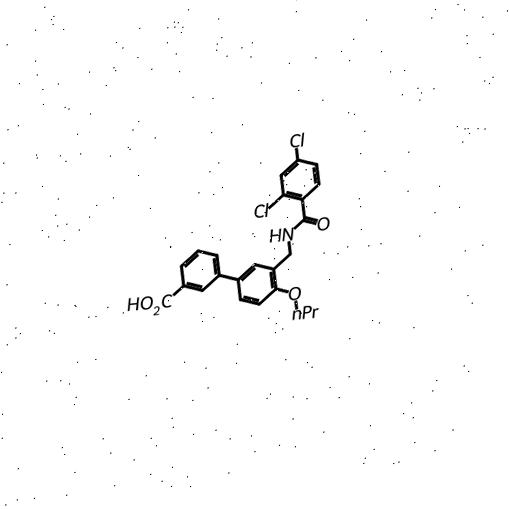 CCCOc1ccc(-c2cccc(C(=O)O)c2)cc1CNC(=O)c1ccc(Cl)cc1Cl